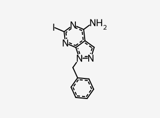 Nc1nc(I)nc2c1cnn2Cc1ccccc1